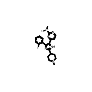 CN1CCC(c2nc(-c3ccccc3F)c(-c3ccnc([S+](C)[O-])n3)[nH]2)CC1